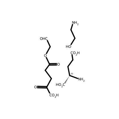 NCCO.N[C@@H](CCC(=O)O)C(=O)O.O=CCOC(=O)CCC(=O)C(=O)O